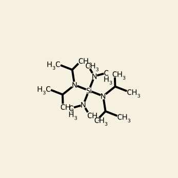 CC(C)N(C(C)C)[Si](N(C)C)(N(C)C)N(C(C)C)C(C)C